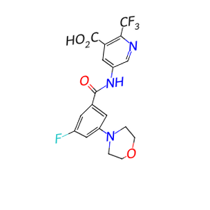 O=C(Nc1cnc(C(F)(F)F)c(C(=O)O)c1)c1cc(F)cc(N2CCOCC2)c1